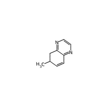 CC1C=Cc2nccnc2C1